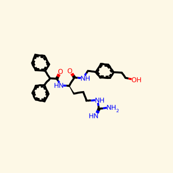 N=C(N)NCCC[C@@H](NC(=O)C(c1ccccc1)c1ccccc1)C(=O)NCc1ccc(CCO)cc1